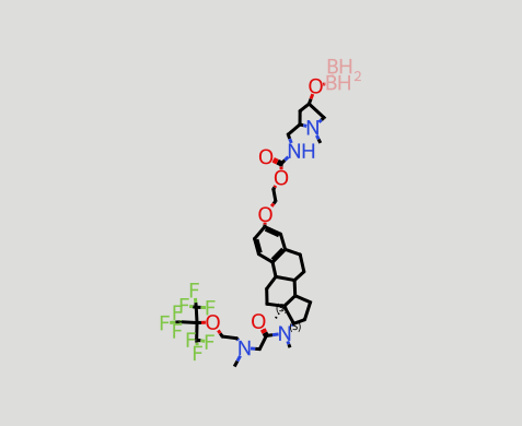 BBOC1CC(CNC(=O)OCCOc2ccc3c(c2)CCC2C3CC[C@@]3(C)C2CC[C@@H]3N(C)C(=O)CN(C)CCOC(C(F)(F)F)(C(F)(F)F)C(F)(F)F)N(C)C1